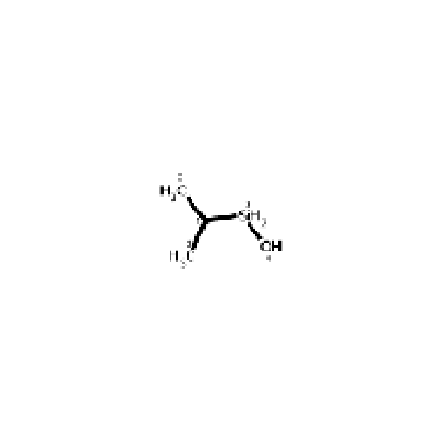 CC(C)[SiH2]O